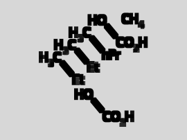 C.CCC.CCC.CCCC.O=C(O)O.O=C(O)O